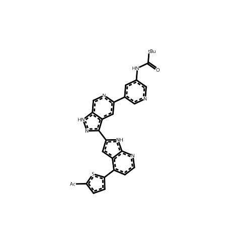 CC(=O)c1ccc(-c2ccnc3[nH]c(-c4n[nH]c5cnc(-c6cncc(NC(=O)C(C)(C)C)c6)cc45)cc23)s1